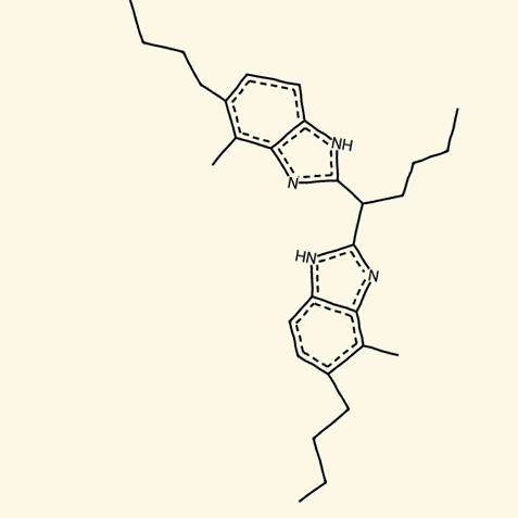 CCCCc1ccc2[nH]c(C(CCCC)c3nc4c(C)c(CCCC)ccc4[nH]3)nc2c1C